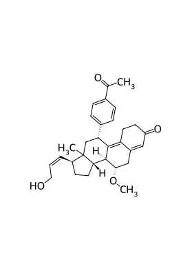 CO[C@H]1CC2=CC(=O)CCC2=C2[C@@H]1[C@@H]1CC[C@@H](/C=C\CO)C1(C)C[C@@H]2c1ccc(C(C)=O)cc1